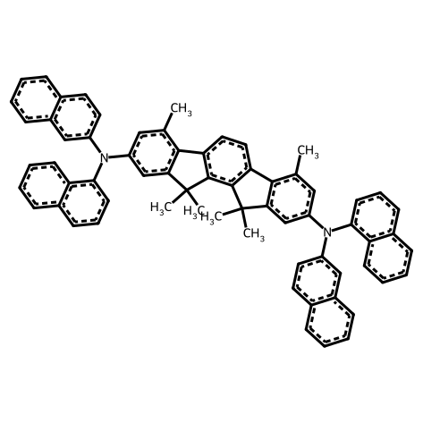 Cc1cc(N(c2ccc3ccccc3c2)c2cccc3ccccc23)cc2c1-c1ccc3c(c1C2(C)C)C(C)(C)c1cc(N(c2ccc4ccccc4c2)c2cccc4ccccc24)cc(C)c1-3